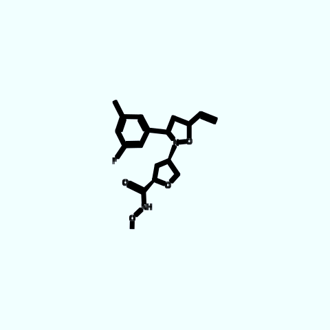 C=CC1CC(c2cc(C)cc(F)c2)N([C@H]2CO[C@@H](C(=O)NOC)C2)O1